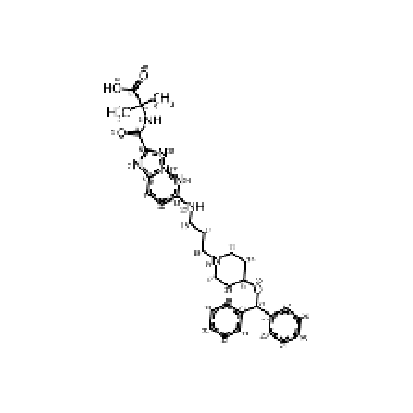 CC(C)(NC(=O)c1nc2ccc(NCCCN3CCC(OC(c4ccccc4)c4ccccc4)CC3)nn2n1)C(=O)O